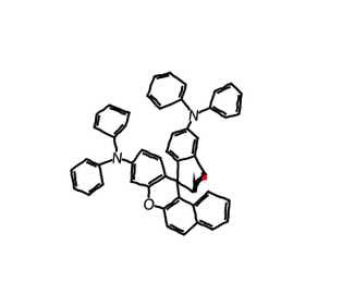 c1ccc(N(c2ccccc2)c2ccc3c(c2)Oc2ccc4ccccc4c2C32c3ccccc3-c3cc(N(c4ccccc4)c4ccccc4)ccc32)cc1